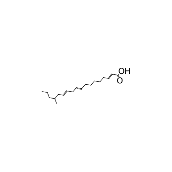 CCCC(C)CC=CCC=CCCCCCC=CC(=O)O